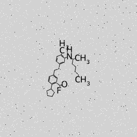 CCCCCC(C)Nc1cc(CCc2ccc(C3CCCC3)c(C(=O)F)c2)ccc1C